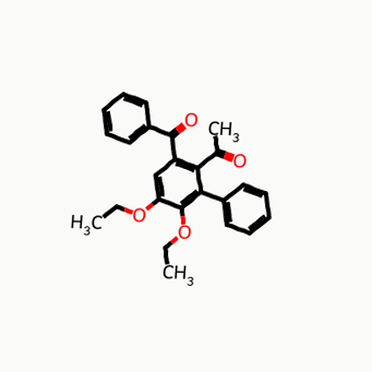 CCOc1cc(C(=O)c2ccccc2)c(C(C)=O)c(-c2ccccc2)c1OCC